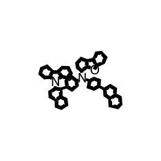 c1ccc2cc(-c3ccc(N(c4ccc(-c5c(-n6c7ccccc7c7ccccc76)ccc6ccccc56)cc4)c4cccc5c4oc4ccccc45)cc3)ccc2c1